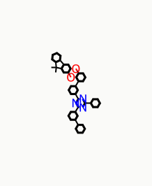 CC1(C)c2ccccc2-c2cc3c(cc21)Oc1c(cccc1-c1cccc(-c2nc(-c4ccccc4)nc(-c4cccc(-c5ccccc5)c4)n2)c1)O3